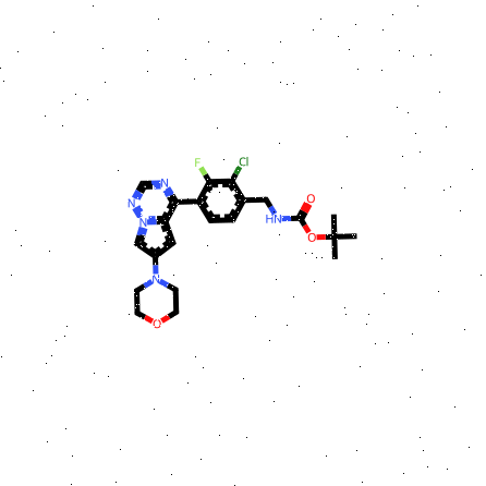 CC(C)(C)OC(=O)NCc1ccc(-c2ncnn3cc(N4CCOCC4)cc23)c(F)c1Cl